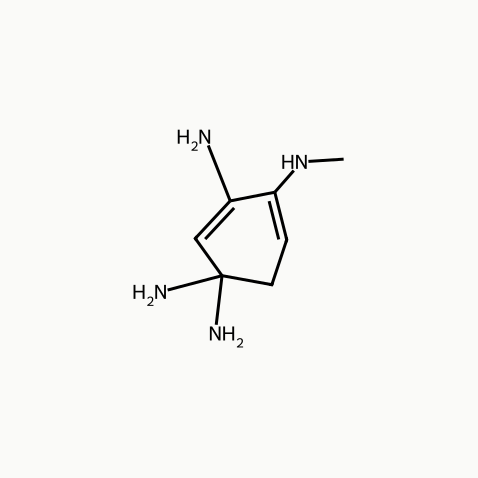 CNC1=CCC(N)(N)C=C1N